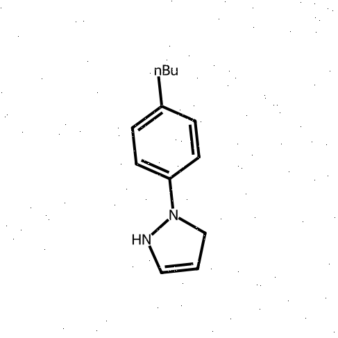 CCCCc1ccc(N2CC=CN2)cc1